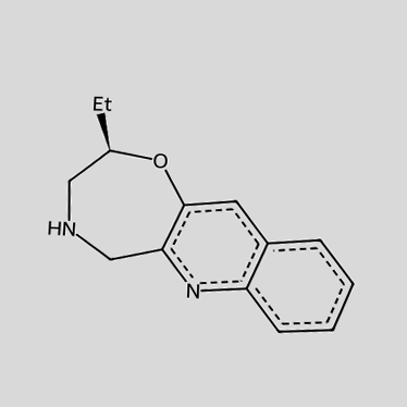 CC[C@@H]1CNCc2nc3ccccc3cc2O1